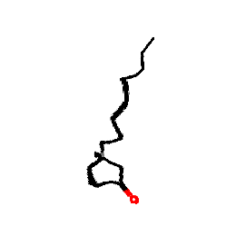 CCCCCCCC[C@H]1CCC(=O)C1